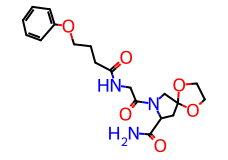 NC(=O)C1CC2(CN1C(=O)CNC(=O)CCCOc1ccccc1)OCCO2